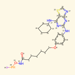 O=C(CCCCCCOc1ccc(Nc2nc(NC3CCCCC3)c3scnc3n2)cc1)NOPI